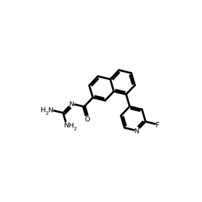 NC(N)=NC(=O)c1ccc2cccc(-c3ccnc(F)c3)c2c1